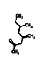 C=C(CC(C)=O)CC(C)CC